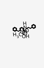 CC(C(=O)O)n1c(Cc2ccccc2)ccc(NC(=O)CCc2ccccc2)c1=O